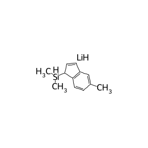 Cc1ccc2c(c1)C=CC2[SiH](C)C.[LiH]